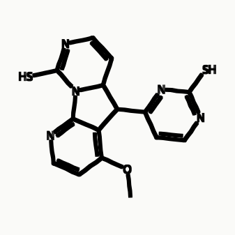 COc1ccnc2c1C(c1ccnc(S)n1)C1C=CN=C(S)N21